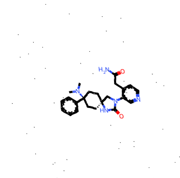 CN(C)[C@]1(c2ccccc2)CC[C@]2(CC1)CN(c1cnccc1CC(N)=O)C(=O)N2